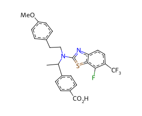 COc1ccc(CCN(c2nc3ccc(C(F)(F)F)c(F)c3s2)C(C)c2ccc(C(=O)O)cc2)cc1